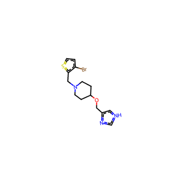 Brc1ccsc1CN1CCC(OCc2c[nH]cn2)CC1